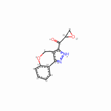 O=C(c1[nH]nc2c1COc1ccccc1-2)C1CO1